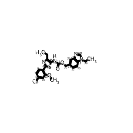 CCc1nc(-c2ccc(Cl)cc2OC)sc1NC(=O)OCc1ccc2c(c1)ncn2CC